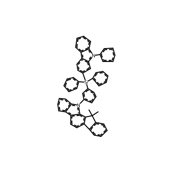 CC1(C)c2ccccc2-c2ccc3c4ccccc4n(-c4cccc([Si](c5ccccc5)(c5ccccc5)c5ccc6c7ccccc7n(-c7ccccc7)c6c5)c4)c3c21